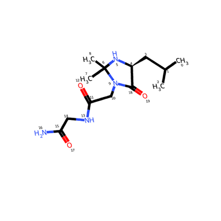 CC(C)C[C@@H]1NC(C)(C)N(CC(=O)NCC(N)=O)C1=O